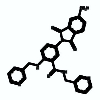 O=C(O)c1ccc2c(c1)C(=O)N(c1ccc(NCc3cccnc3)c(C(=O)NCc3cccnc3)c1)C2=O